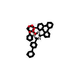 c1ccc(-c2ccc(-c3nc(-c4ccccc4)nc(-c4cccc5c6ccccc6c6ccc(-c7cccc8c7oc7ccccc78)cc6c45)n3)cc2)cc1